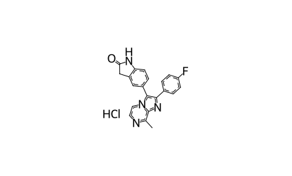 Cc1nccn2c(-c3ccc4c(c3)CC(=O)N4)c(-c3ccc(F)cc3)nc12.Cl